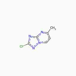 Cc1ccn2nc(Cl)nc2n1